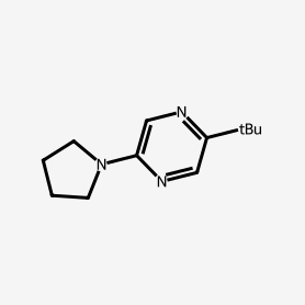 CC(C)(C)c1cnc(N2CCCC2)cn1